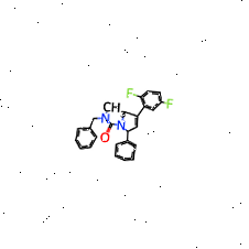 CN(Cc1ccccc1)C(=O)N1CC(c2cc(F)ccc2F)=CC1c1ccccc1